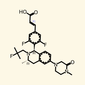 C[C@H]1Cc2cc(N3CCN(C)C(=O)C3)ccc2[C@H](c2c(F)cc(/C=C/C(=O)O)cc2F)N1CC(C)(C)F